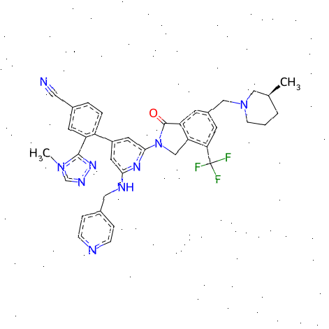 C[C@H]1CCCN(Cc2cc3c(c(C(F)(F)F)c2)CN(c2cc(-c4ccc(C#N)cc4-c4nncn4C)cc(NCc4ccncc4)n2)C3=O)C1